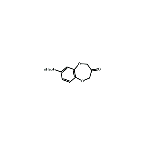 CCCCCCCc1ccc2c(c1)OCC(=O)CO2